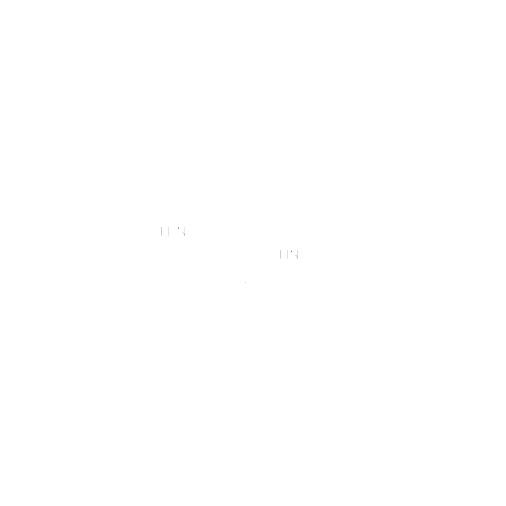 CC(C)NCC(O)CON